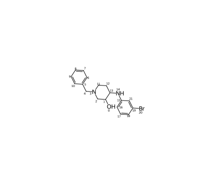 OC1CN(Cc2ccccc2)CCC1Nc1cccc(Br)c1